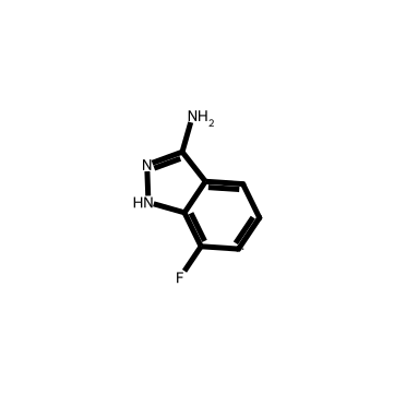 Nc1n[nH]c2c(F)[c]ccc12